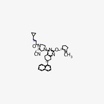 CN1CCC[C@H]1COc1nc2c(c(N3CCN(C(=O)/C=C/C4CC4)[C@@H](CC#N)C3)n1)CC[C@H](c1cccc3ccccc13)C2